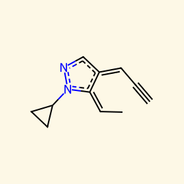 C#C/C=c1/cnn(C2CC2)/c1=C/C